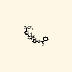 O=C(NCc1ccc(S(=O)(=O)NC(=O)c2ccc(C(=O)C(F)(F)F)s2)s1)c1ccccc1